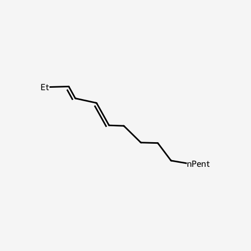 [CH2]C/C=C/C=C/CCCCCCCCC